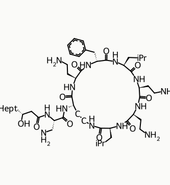 CCCCCCC[C@@H](O)CC(=O)N[C@@H](CN)C(=O)N[C@H]1CCNC(=O)[C@H](CC(C)C)NC(=O)[C@H](CCN)NC(=O)[C@H](CCN)NC(=O)[C@H](CC(C)C)NC(=O)[C@@H](Cc2ccccc2)NC(=O)[C@H](CCN)NC1=O